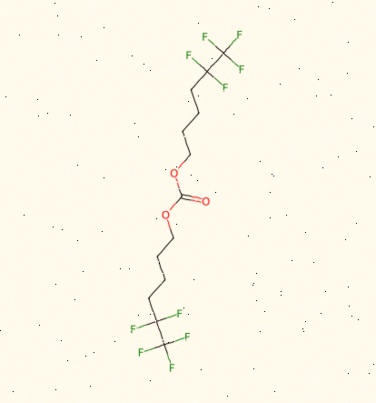 O=C(OCCCCC(F)(F)C(F)(F)F)OCCCCC(F)(F)C(F)(F)F